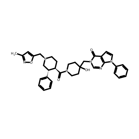 Cc1cc(CN2CC[C@@H](C(=O)N3CCC(O)(Cn4cnc5c(ccn5-c5ccccc5)c4=O)CC3)[C@H](c3ccccc3)C2)on1